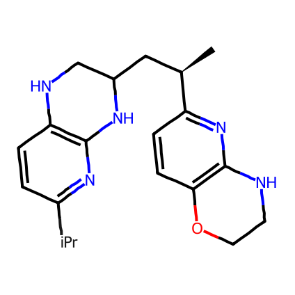 CC(C)c1ccc2c(n1)NC(C[C@@H](C)c1ccc3c(n1)NCCO3)CN2